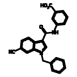 N#Cc1ccc2c(C(=O)Nc3cccc(C(=O)O)c3)cn(Cc3ccccc3)c2c1